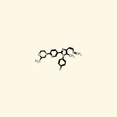 C=N/C=C\c1nc(-c2ccc(N3CCOC(C)C3)nc2)n(-c2ccc(F)cc2)c1C